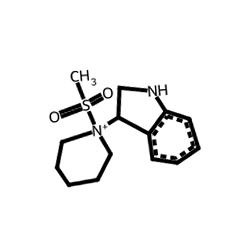 CS(=O)(=O)[N+]1(C2CNc3ccccc32)CCCCC1